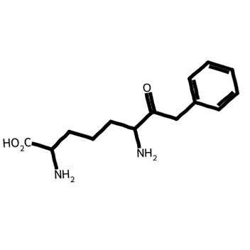 NC(CCCC(N)C(=O)Cc1ccccc1)C(=O)O